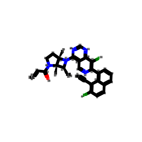 C#Cc1c(F)ccc2cccc(-c3ncc4c(N5[C@@H]6CCN(C(=O)C=C)[C@@H]6[C@@H]5C)ncnc4c3F)c12